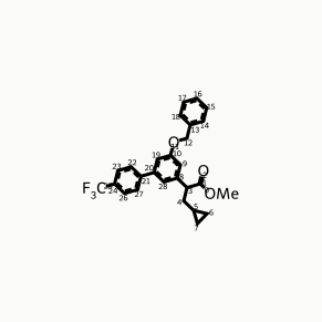 COC(=O)C(CC1CC1)c1cc(OCc2ccccc2)cc(-c2ccc(C(F)(F)F)cc2)c1